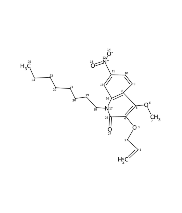 C=CCOc1c(OC)c2ccc([N+](=O)[O-])cc2n(CCCCCCCC)c1=O